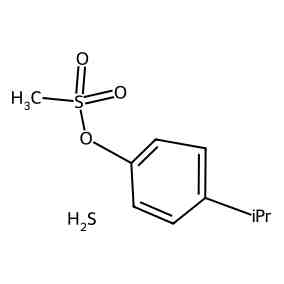 CC(C)c1ccc(OS(C)(=O)=O)cc1.S